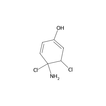 NC1(Cl)C=CC(O)=CC1Cl